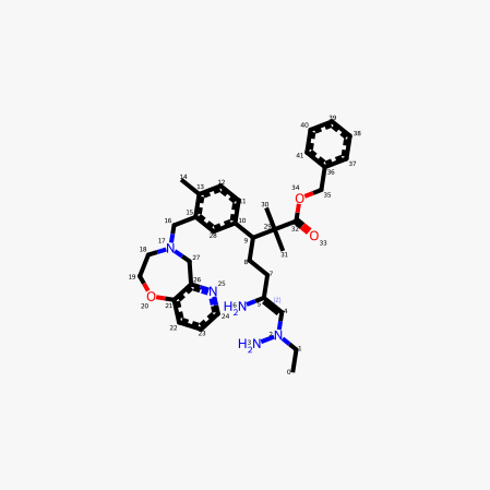 CCN(N)/C=C(\N)CCC(c1ccc(C)c(CN2CCOc3cccnc3C2)c1)C(C)(C)C(=O)OCc1ccccc1